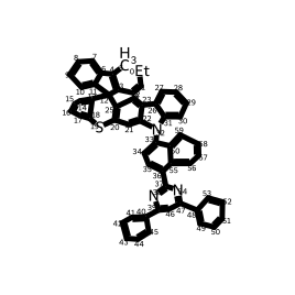 CC/C=C\C1=C(C)c2ccccc2C12c1ccccc1Sc1cc3c(cc12)c1ccccc1n3-c1ccc(-c2nc(-c3ccccc3)cc(-c3ccccc3)n2)c2ccccc12